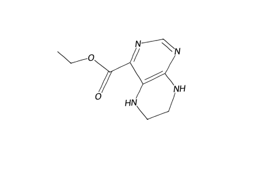 CCOC(=O)c1ncnc2c1NCCN2